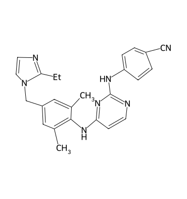 CCc1nccn1Cc1cc(C)c(Nc2ccnc(Nc3ccc(C#N)cc3)n2)c(C)c1